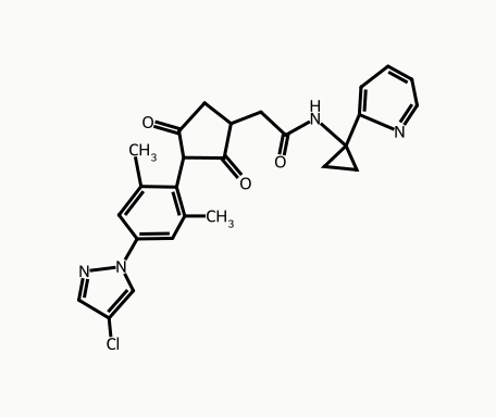 Cc1cc(-n2cc(Cl)cn2)cc(C)c1C1C(=O)CC(CC(=O)NC2(c3ccccn3)CC2)C1=O